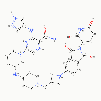 Cn1cc(Nc2nc(N3CCC[C@@H](NC4CCN(CC5CN(c6ccc7c(c6)C(=O)N(C6CCC(=O)NC6=O)C7=O)C5)CC4)C3)cnc2C(N)=O)cn1